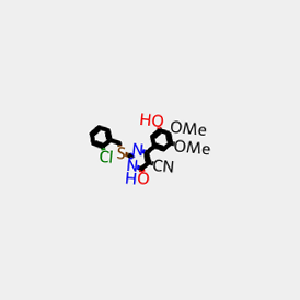 COc1cc(-c2nc(SCc3ccccc3Cl)[nH]c(=O)c2C#N)cc(O)c1OC